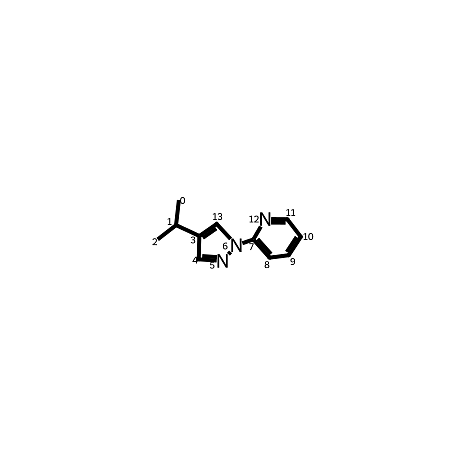 CC(C)c1cnn(-c2ccccn2)c1